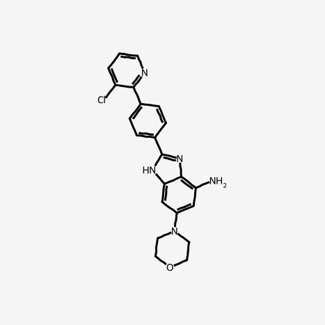 Nc1cc(N2CCOCC2)cc2[nH]c(-c3ccc(-c4ncccc4Cl)cc3)nc12